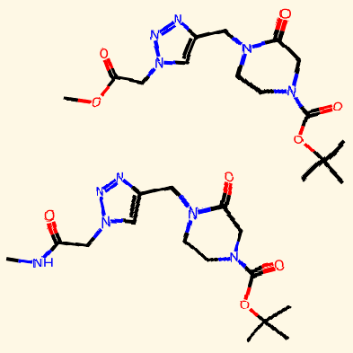 CNC(=O)Cn1cc(CN2CCN(C(=O)OC(C)(C)C)CC2=O)nn1.COC(=O)Cn1cc(CN2CCN(C(=O)OC(C)(C)C)CC2=O)nn1